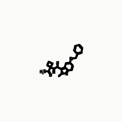 Cn1nc2ccc(OCc3ccccc3)cc2c1C(=O)NC1(C(N)=O)CCC1